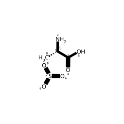 C[C@H](N)C(=O)O.O=S(=O)=O